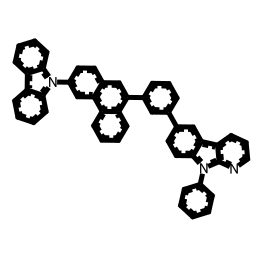 c1ccc(-n2c3ccc(-c4cccc(-c5cc6ccc(-n7c8ccccc8c8ccccc87)cc6c6ccccc56)c4)cc3c3cccnc32)cc1